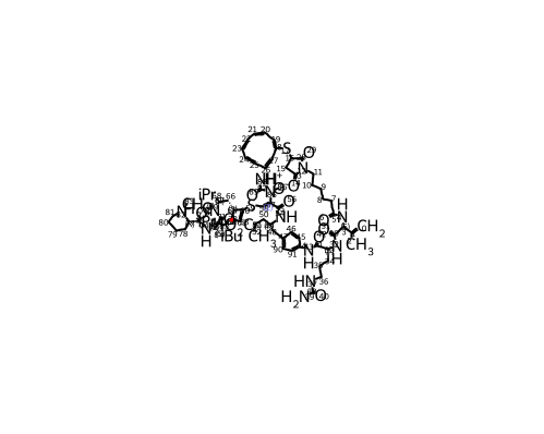 C=C(C)[C@H](NC(=O)CCCCCN1C(=O)CC(Sc2ccccccccc2)C1=O)C(=O)N[C@@H](CCCNC(N)=O)C(=O)Nc1ccc(C[C@@H](C[C@H](C)C(=O)O)NC(=O)/C(=C/SC2=C[C@@H](CC(C)C)[C@@H]2C[C@H](C(C)C)N(C)C(=O)[C@@H](NC(=O)[C@H]2CCCCN2C)[C@@H](C)CC)[NH+]([O-])C(N)=O)cc1